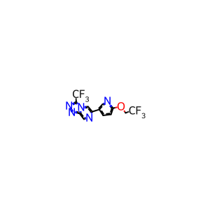 FC(F)(F)COc1ccc(-c2cn3c(C(F)(F)F)nnc3cn2)cn1